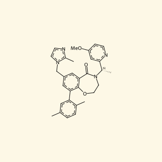 COc1ccnc([C@H](C)N2CCOc3c(cc(Cn4ccnc4C)cc3-c3cc(C)ccc3C)C2=O)c1